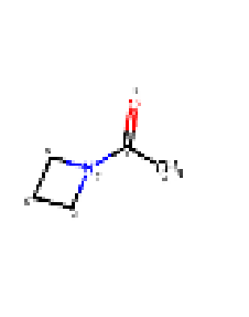 CC(=O)N1CCC1